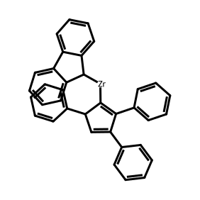 C1=C(c2ccccc2)C(c2ccccc2)=[C]([Zr][CH]2c3ccccc3-c3ccccc32)C1c1ccccc1